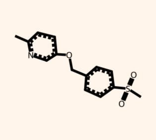 Cc1ccc(OCc2ccc(S(C)(=O)=O)cc2)cn1